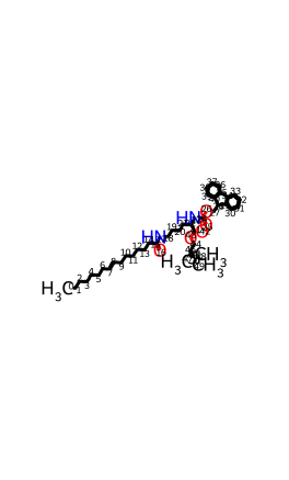 CCCCCCCC=CCCCCCCC(=O)NCCCCC(NC(=O)OCC1c2ccccc2-c2ccccc21)C(=O)OCC[Si](C)(C)C